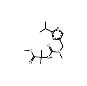 COC(=O)C(C)(C)NC(=O)N(C)Cc1csc(C(C)C)n1